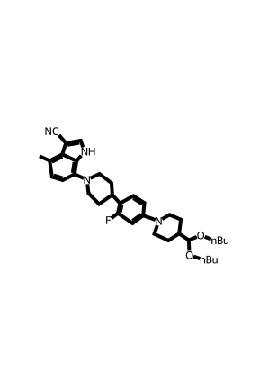 CCCCOC(OCCCC)C1CCN(c2ccc(C3CCN(c4ccc(C)c5c(C#N)c[nH]c45)CC3)c(F)c2)CC1